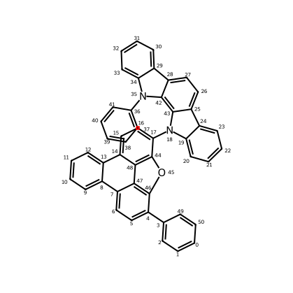 c1ccc(-c2ccc3c4ccccc4c4ccc(-n5c6ccccc6c6ccc7c8ccccc8n(-c8ccccc8)c7c65)c5oc2c3c54)cc1